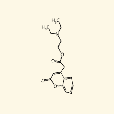 CCN(CC)CCOC(=O)Cc1cc(=O)oc2ccccc12